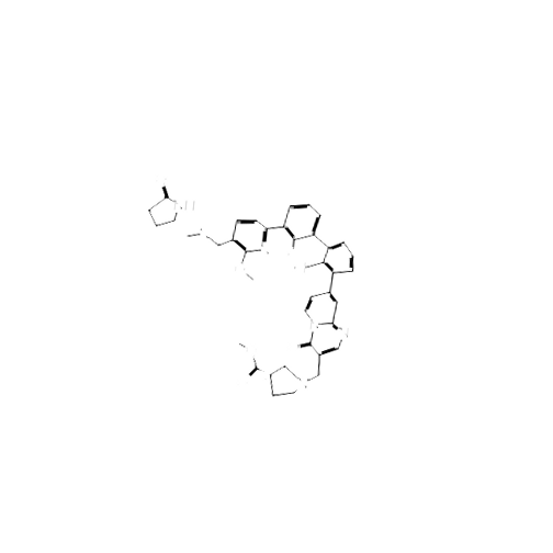 COC(=O)[C@@H]1CCN(Cc2cnc3cc(-c4cccc(-c5cccc(-c6ccc(CNC[C@@H]7CCC(=O)N7)c(OC)n6)c5Cl)c4Cl)ccn3c2=O)C1